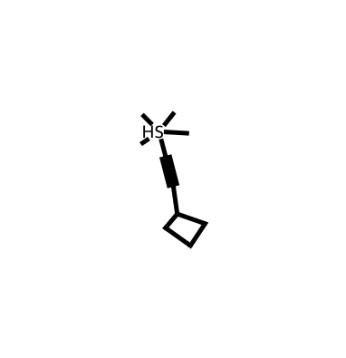 C[SH](C)(C)(C)C#CC1CCC1